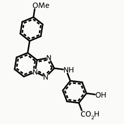 COc1ccc(-c2cccn3nc(Nc4ccc(C(=O)O)c(O)c4)nc23)cc1